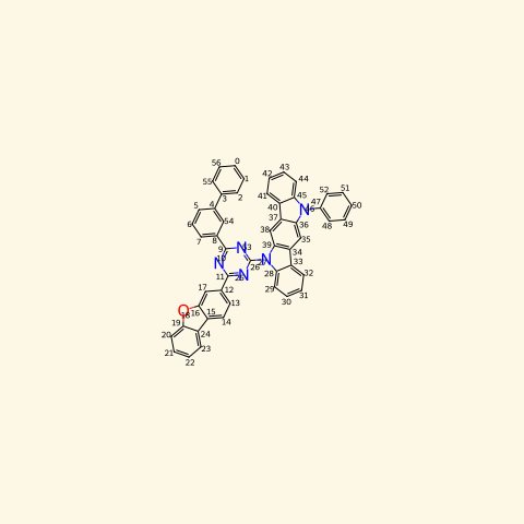 c1ccc(-c2cccc(-c3nc(-c4ccc5c(c4)oc4ccccc45)nc(-n4c5ccccc5c5cc6c(cc54)c4ccccc4n6-c4ccccc4)n3)c2)cc1